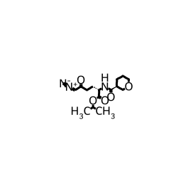 CC(C)OC(=O)[C@H](CCC(=O)C=[N+]=[N-])NC(=O)[C@H]1CCCOC1